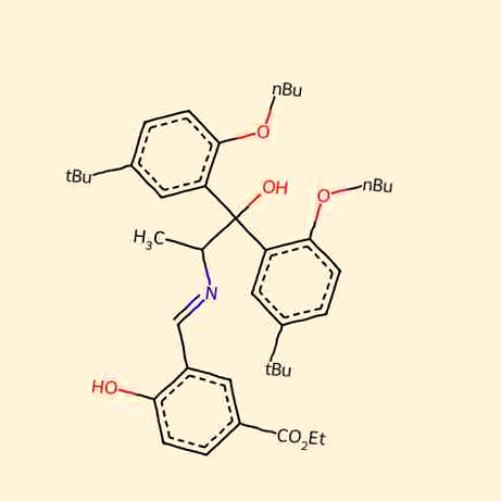 CCCCOc1ccc(C(C)(C)C)cc1C(O)(c1cc(C(C)(C)C)ccc1OCCCC)C(C)N=Cc1cc(C(=O)OCC)ccc1O